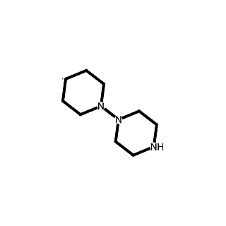 [CH]1CCN(N2CCNCC2)CC1